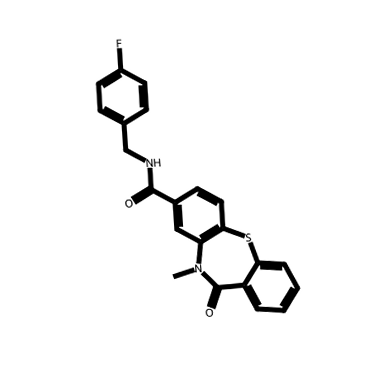 CN1C(=O)c2ccccc2Sc2ccc(C(=O)NCc3ccc(F)cc3)cc21